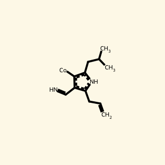 C=CCc1[nH]c(CC(C)C)[c]([Co])c1C=N